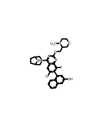 CN1CCOCC1COc1nc(N2CC3CCC(C2)N3)c2cc(Cl)c(-c3cc(O)cc4ccccc34)c(F)c2n1